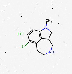 CN1CC2CNCCc3c(Br)ccc1c32.Cl